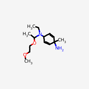 CCN(C1C=CC(C)(N)C=C1)C(C)OCCOC